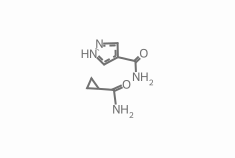 NC(=O)C1CC1.NC(=O)c1cn[nH]c1